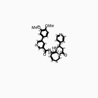 COc1ccc(-c2cncc(C(=O)NC3=C4NC(c5ccncc5)CC(=O)N4CCC=C3)c2)cc1OC